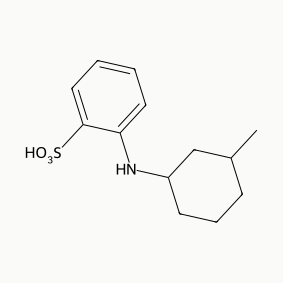 CC1CCCC(Nc2ccccc2S(=O)(=O)O)C1